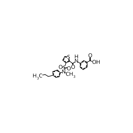 CCCc1ccc(N(C)S(=O)(=O)c2ccsc2C(=O)Nc2cccc(C(=O)O)c2)cc1